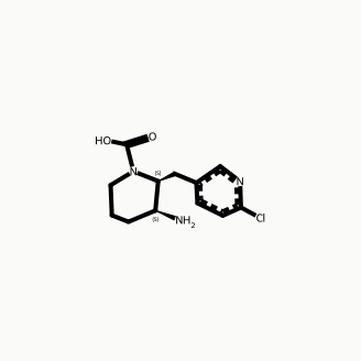 N[C@H]1CCCN(C(=O)O)[C@H]1Cc1ccc(Cl)nc1